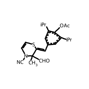 CC(=O)Oc1c(C(C)C)cc(C=C2SC=CN(C#N)C2(C)C=O)cc1C(C)C